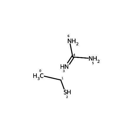 CCS.N=C(N)N